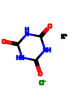 O=c1[nH]c(=O)[nH]c(=O)[nH]1.[Cl-].[K+]